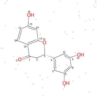 O=C1C[C@@H](c2cc(O)cc(O)c2)Oc2cc(O)ccc21